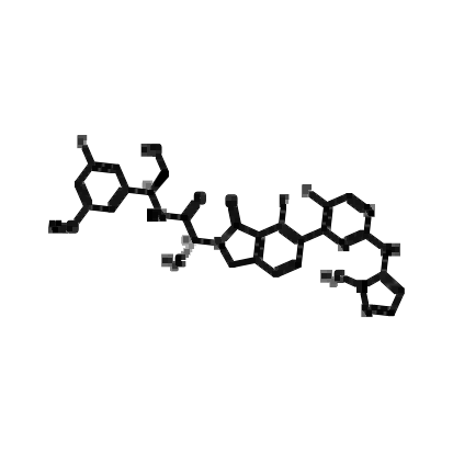 COc1cc(F)cc([C@@H](CO)NC(=O)[C@@H](C)N2Cc3ccc(-c4nc(Nc5ccnn5C)ncc4F)c(F)c3C2=O)c1